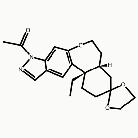 CC[C@]12CCC3(C[C@H]1CCCc1cc4c(cnn4C(C)=O)cc12)OCCO3